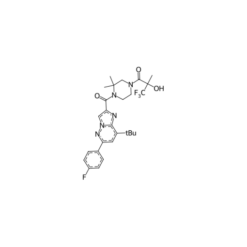 CC(C)(C)c1cc(-c2ccc(F)cc2)nn2cc(C(=O)N3CCN(C(=O)C(C)(O)C(F)(F)F)CC3(C)C)nc12